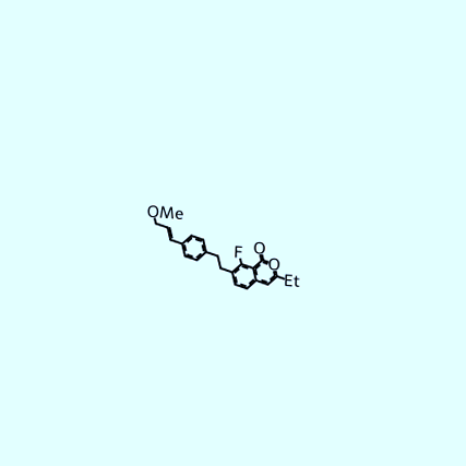 CCc1cc2ccc(CCc3ccc(/C=C/COC)cc3)c(F)c2c(=O)o1